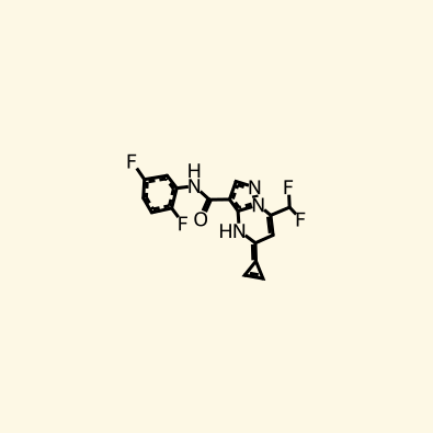 O=C(Nc1cc(F)ccc1F)c1cnn2c1NC(=C1C=C1)C=C2C(F)F